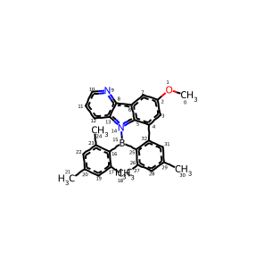 COc1cc2c3c(c1)c1ncccc1n3B(c1c(C)cc(C)cc1C)c1c(C)cc(C)cc1-2